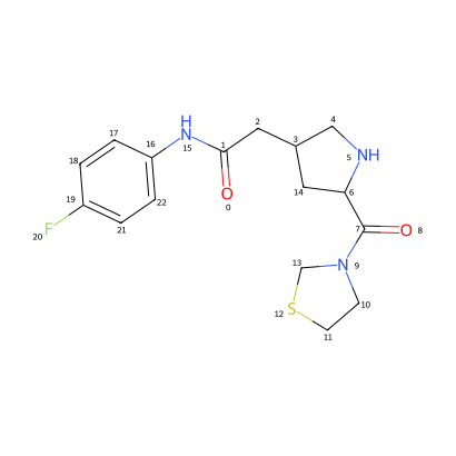 O=C(CC1CNC(C(=O)N2CCSC2)C1)Nc1ccc(F)cc1